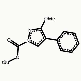 COc1nn(C(=O)OC(C)(C)C)cc1-c1ccccc1